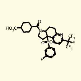 O=C(O)C1CCC(C(=O)N2CCC3(S(=O)(=O)c4cccc(F)c4)c4ccc(C(F)(C(F)(F)F)C(F)(F)F)nc4CCC23)CC1